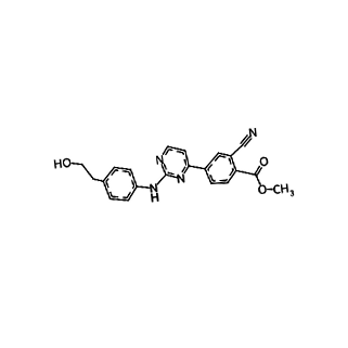 COC(=O)c1ccc(-c2ccnc(Nc3ccc(CCO)cc3)n2)cc1C#N